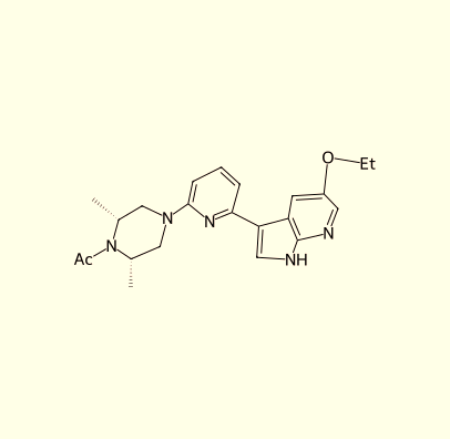 CCOc1cnc2[nH]cc(-c3cccc(N4C[C@@H](C)N(C(C)=O)[C@@H](C)C4)n3)c2c1